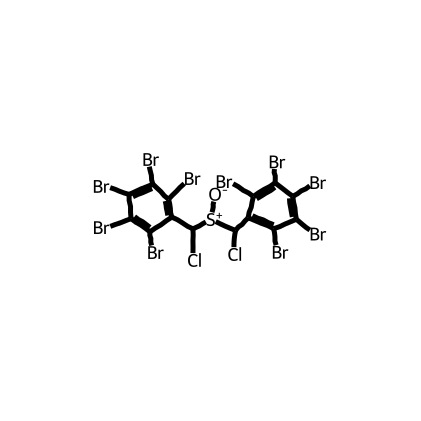 [O-][S+](C(Cl)c1c(Br)c(Br)c(Br)c(Br)c1Br)C(Cl)c1c(Br)c(Br)c(Br)c(Br)c1Br